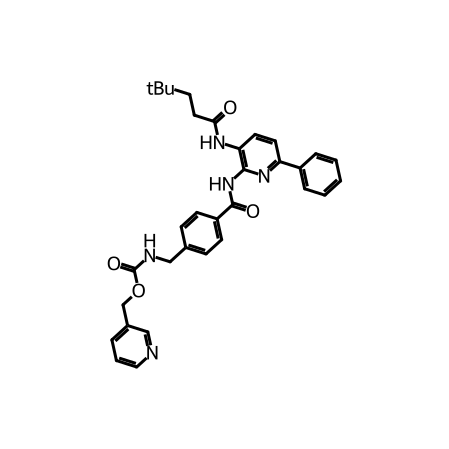 CC(C)(C)CCC(=O)Nc1ccc(-c2ccccc2)nc1NC(=O)c1ccc(CNC(=O)OCc2cccnc2)cc1